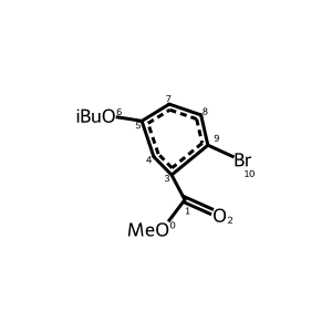 COC(=O)c1cc(OCC(C)C)ccc1Br